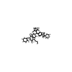 CCCCN1C(=O)[C@H](CC2CCCCC2)NC(=O)C12CCN(C(c1ccc(S(=O)(=O)N3CCOCC3)cc1)c1c(C)n[nH]c1C)CC2